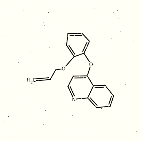 C=CCOc1ccccc1Oc1ccnc2ccccc12